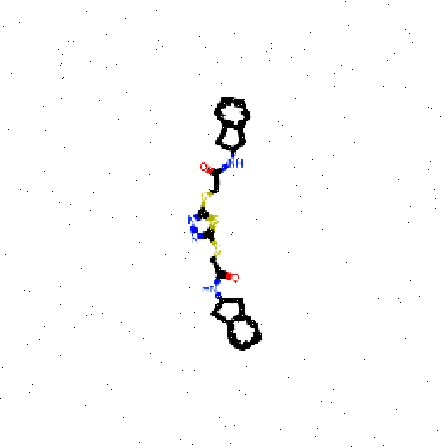 O=C(CSc1nnc(SCC(=O)NC2Cc3ccccc3C2)s1)NC1Cc2ccccc2C1